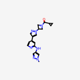 Cn1cc(Nc2cc(-c3cnn(C4CN(C(=O)C5CC5)C4)c3)ccn2)cn1